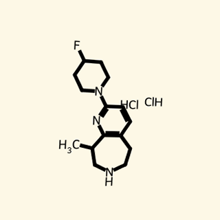 CC1CNCCc2ccc(N3CCC(F)CC3)nc21.Cl.Cl